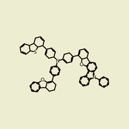 C1=CC2SC3C(C4=CCC(N(C5=CC=C(C6=CC=CC7c8ccc9c(c8OC67)c6ccccc6n9-c6ccccc6)CC5)c5ccc(C6=C7Oc8ccccc8C7CCC6)cc5)C=C4)C=CCC3C2C=C1